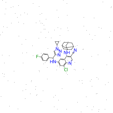 N#Cc1cnc2c(Cl)cc(NC(c3ccc(F)cc3)c3cn(C4CC4)nn3)cc2c1NC12CC3CC(CC(C3)C1)C2